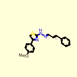 COc1ccc(-c2csc(N/N=C/C=C/c3ccccc3)n2)cc1